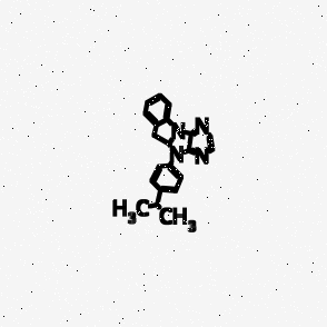 CC(C)c1ccc(N2c3nccnc3N3c4ccccc4CC23)cc1